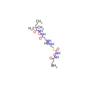 BCCC(=O)NONC(=O)SCCNBNCCC(=O)NONC(=O)C(C)(C)CCC